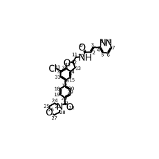 O=C(C=Cc1cccnn1)NCC1Cc2cc(-c3ccc(C(=O)N4CCOCC4)cc3)cc(Cl)c2O1